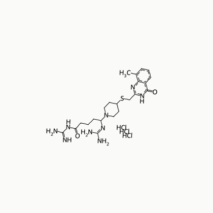 Cc1cccc2c(=O)[nH]c(CSC3CCN(C(CCCC(=O)NC(=N)N)N=C(N)N)CC3)nc12.Cl.Cl.Cl